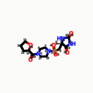 C[C@]1(CS(=O)(=O)N2CCN(C(=O)C3CCCO3)CC2)NC(=O)NC1=O